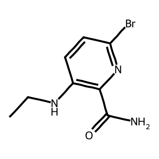 CCNc1ccc(Br)nc1C(N)=O